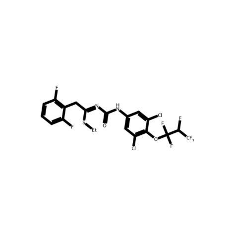 CCSC(Cc1c(F)cccc1F)=NC(=O)Nc1cc(Cl)c(OC(F)(F)C(F)C(F)(F)F)c(Cl)c1